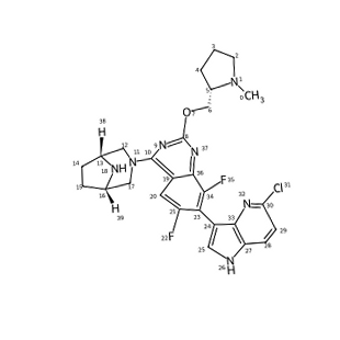 CN1CCC[C@H]1COc1nc(N2C[C@H]3CC[C@@H](C2)N3)c2cc(F)c(-c3c[nH]c4ccc(Cl)nc34)c(F)c2n1